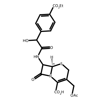 CCOC(=O)c1ccc(C(O)C(=O)NC2C(=O)N3C(C(=O)O)=C(COC(C)=O)CS[C@H]23)cc1